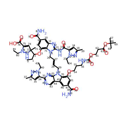 CCC(Oc1cc(C(N)=O)cc2nc(NC(=O)c3cc(C)nn3CC)n(C/C=C/Cn3c4nc(-c5cc(C)nn5CC)ncc4c4cc(C(N)=O)cc(OCCCNC(=O)OCCC(=O)OC(C)(C)C)c43)c12)C1(C)C=C(C(=O)O)N(CC)N1